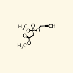 C#CCOP(=O)(CC(=O)OC)OC